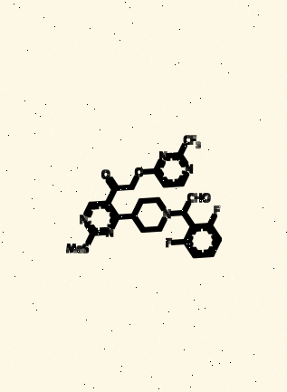 CSc1ncc(C(=O)COc2ccnc(C(F)(F)F)n2)c(C2CCN(C(C=O)c3c(F)cccc3F)CC2)n1